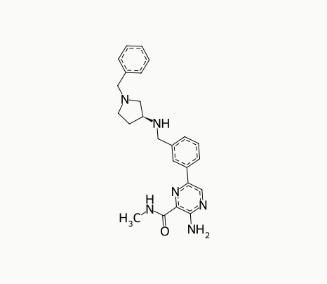 CNC(=O)c1nc(-c2cccc(CN[C@H]3CCN(Cc4ccccc4)C3)c2)cnc1N